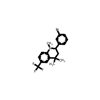 CN1c2ccc(C(F)(F)F)cc2C(C)(C)CC1c1cccc(Br)c1